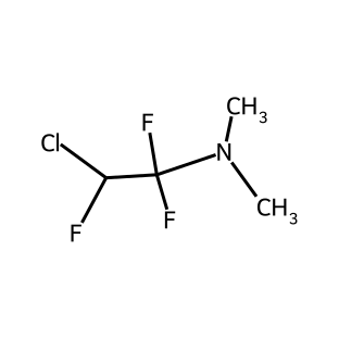 CN(C)C(F)(F)C(F)Cl